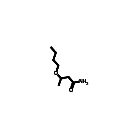 CCCCOC(C)CC(N)=O